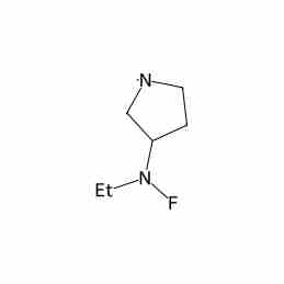 CCN(F)C1CC[N]C1